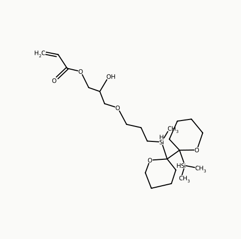 C=CC(=O)OCC(O)COCCC[SiH](C)C1(C2([SiH](C)C)CCCCO2)CCCCO1